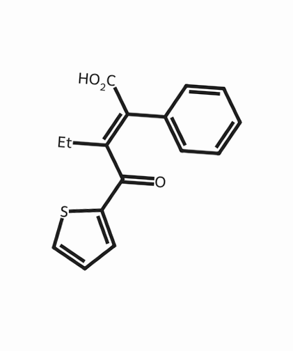 CCC(C(=O)c1cccs1)=C(C(=O)O)c1ccccc1